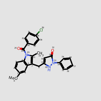 COc1ccc2c(c1)c(Cc1cc(=O)n(-c3ccccc3)[nH]1)c(C)n2C(=O)c1ccc(Cl)cc1